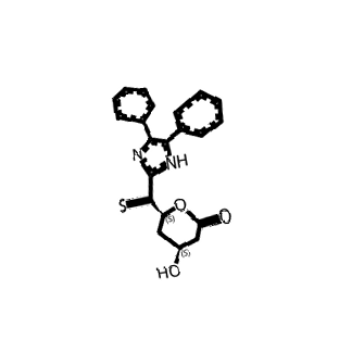 O=C1C[C@@H](O)C[C@@H](C(=S)c2nc(-c3ccccc3)c(-c3ccccc3)[nH]2)O1